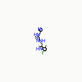 Cc1[nH]c2c(F)ccc(C)c2c1CCNc1cc(NCc2cccnc2)ncn1